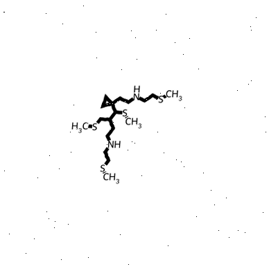 CSCCNCCC(CSC)C(SC)C1(CCNCCSC)CC1